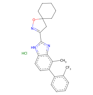 Cc1c(-c2ccccc2C(F)(F)F)ccc2[nH]c(C3=NOC4(CCCCC4)C3)nc12.Cl